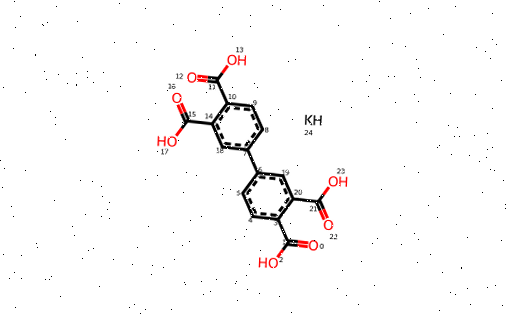 O=C(O)c1ccc(-c2ccc(C(=O)O)c(C(=O)O)c2)cc1C(=O)O.[KH]